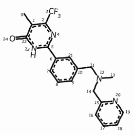 Cc1c(C(F)(F)F)nc(-c2cccc(CN(C)Cc3ccccn3)c2)[nH]c1=O